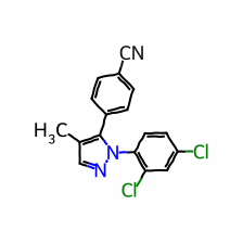 Cc1cnn(-c2ccc(Cl)cc2Cl)c1-c1ccc(C#N)cc1